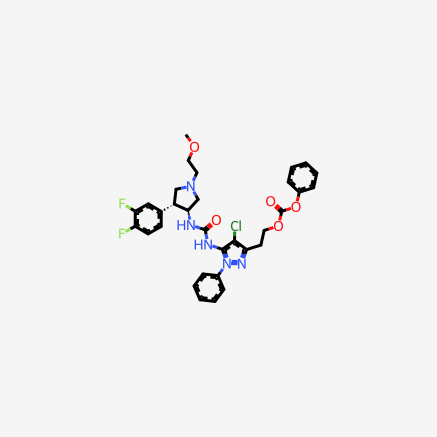 COCCN1C[C@@H](NC(=O)Nc2c(Cl)c(CCOC(=O)Oc3ccccc3)nn2-c2ccccc2)[C@H](c2ccc(F)c(F)c2)C1